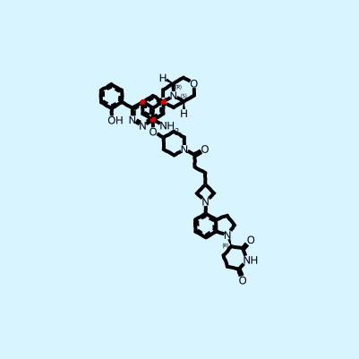 Nc1nnc(-c2ccccc2O)cc1N1C[C@H]2COC[C@@H](C1)N2c1cccc(OC2CCN(C(=O)CCC3CN(c4cccc5c4CCN5[C@@H]4CCC(=O)NC4=O)C3)CC2)c1